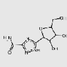 NC(=O)c1n[nH]c(C2OC(CO)C(O)C2O)n1